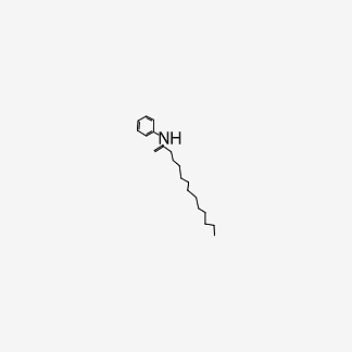 C=C(CCCCCCCCCCCC)Nc1ccccc1